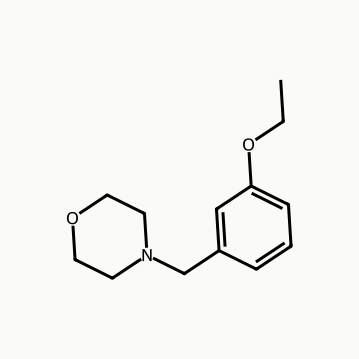 CCOc1cccc(CN2CCOCC2)c1